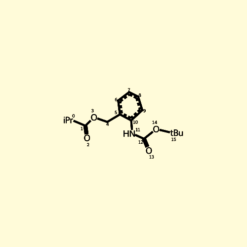 CC(C)C(=O)OCc1ccccc1NC(=O)OC(C)(C)C